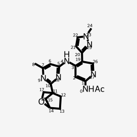 CC(=O)Nc1cc(Nc2cc(C)nc(C34CCC(C3)OC4)n2)c(-c2ccn(C)n2)cn1